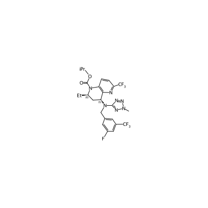 CC[C@@H]1C[C@H](N(Cc2cc(F)cc(C(F)(F)F)c2)c2nnn(C)n2)c2nc(C(F)(F)F)ccc2N1C(=O)OC(C)C